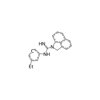 CCc1cccc(NC(=N)N2Cc3cccc4cccc2c34)c1